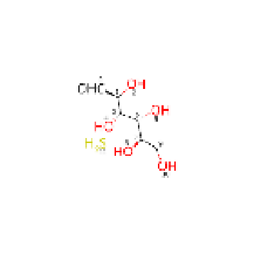 O=C[C@@H](O)[C@@H](O)[C@H](O)[C@H](O)CO.S